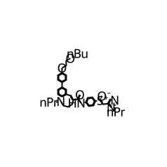 CCCCOCCOc1ccc(-c2ccc3c(c2)C=C(C(=O)Nc2ccc([S@@+]([O-])Cc4cncn4CCC)cc2)CCCN3CCC)cc1